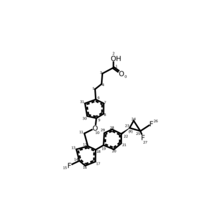 O=C(O)CCCc1ccc(OCc2cc(F)ccc2-c2ccc([C@H]3CC3(F)F)cc2)cc1